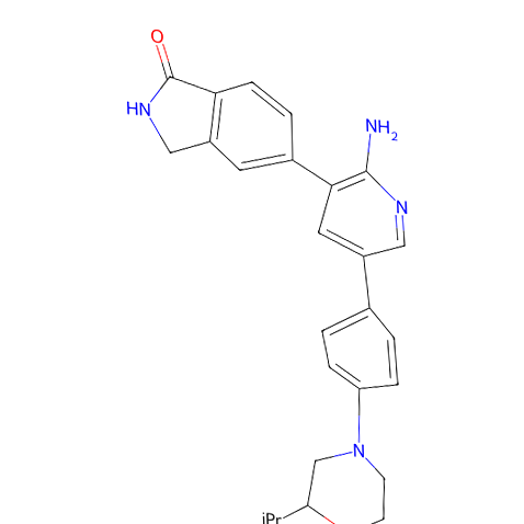 CC(C)C1CN(c2ccc(-c3cnc(N)c(-c4ccc5c(c4)CNC5=O)c3)cc2)CCO1